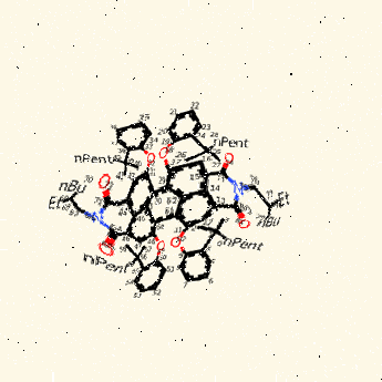 CCCCCC(C)(C)c1ccccc1Oc1cc2c3c(cc(Oc4ccccc4C(C)(C)CCCCC)c4c5c(Oc6ccccc6C(C)(C)CCCCC)cc6c7c(cc(Oc8ccccc8C(C)(C)CCCCC)c(c1c34)c75)C(=O)N(CC(CC)CCCC)C6=O)C(=O)N(CC(CC)CCCC)C2=O